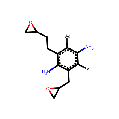 CC(=O)c1c(N)c(C(C)=O)c(CC2CO2)c(N)c1CCC1CO1